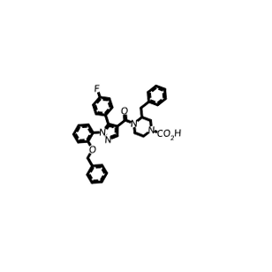 O=C(O)N1CCN(C(=O)c2cnn(-c3ccccc3OCc3ccccc3)c2-c2ccc(F)cc2)C(Cc2ccccc2)C1